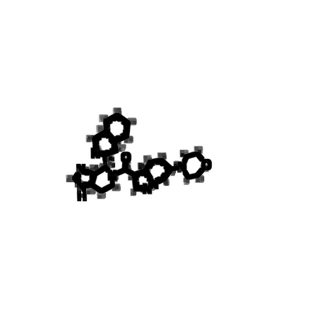 O=C(c1cnn2cc(N3CCOCC3)ccc12)N1CCc2[nH]cnc2[C@H]1c1cc2ccccc2cn1